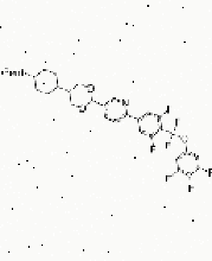 CCCCCC1CCC(C2COC(c3ccc(-c4cc(F)c(C(F)(F)Oc5cc(F)c(F)c(F)c5)c(F)c4)nc3)OC2)CC1